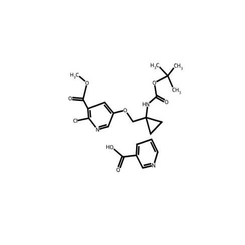 COC(=O)c1cc(OCC2(NC(=O)OC(C)(C)C)CC2)cnc1Cl.O=C(O)c1cccnc1